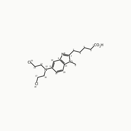 Cn1c(CCCCC(=O)O)nc2cc(N(CCCl)CCCl)ccc21